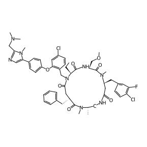 CC[C@H]1C(=O)N[C@@H](COC)C(=O)N(C)[C@@H](Cc2ccc(Cl)c(F)c2)CC(=O)NC[C@H](C)N(C)C(=O)[C@H](Cc2ccccc2)CC(=O)N1Cc1ccc(Cl)cc1Oc1ccc(-c2cnc(CN(C)C)n2C)cc1